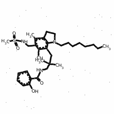 CCCCCCCCN1CCc2c(C)c(CNS(C)(=O)=O)c(C)c(CC(C)(C)CNC(=O)c3ccccc3O)c21